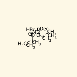 Br.CCCCCCCCCCCCN(CC(=O)OCC=C(C)CCC=C(C)C)CC(=O)OCC=C(C)CCC=C(C)C